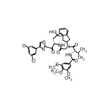 COc1cc(C(=O)N[C@H](C(=O)N(CC(=O)N[C@@H](CC(=O)O)C(=O)c2nc(-c3cc(Cl)cc(Cl)c3)co2)C2Cc3ccccc3C2)C(C)C)cc(OC)c1OC